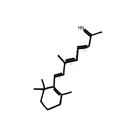 CC(=N)/C=C/C=C(C)/C=C/C1=C(C)CCCC1(C)C